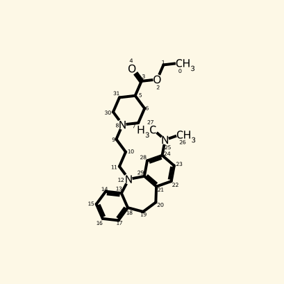 CCOC(=O)C1CCN(CCCN2c3ccccc3CCc3ccc(N(C)C)cc32)CC1